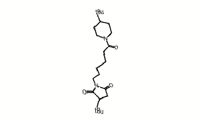 CC(C)(C)C1CCN(C(=O)CCCCCN2C(=O)CC(C(C)(C)C)C2=O)CC1